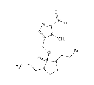 CCCN1CCN(CCBr)P1(=O)OCc1cnc([N+](=O)[O-])n1C